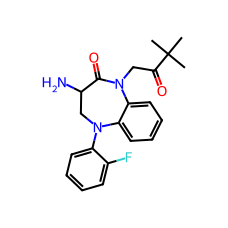 CC(C)(C)C(=O)CN1C(=O)C(N)CN(c2ccccc2F)c2ccccc21